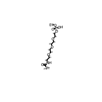 CCOP(=O)(O)OCCOCCOCCOCCNC(=O)C(C)C